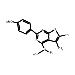 CCCCN(CCCC)c1nc(-c2ccc(OC)cc2)nc2sc(C#N)c(C)c12